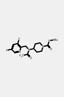 CC(C)(C)OC(=O)N1CCC(N(Cc2ncc(F)cc2F)C(=O)C(F)(F)F)CC1